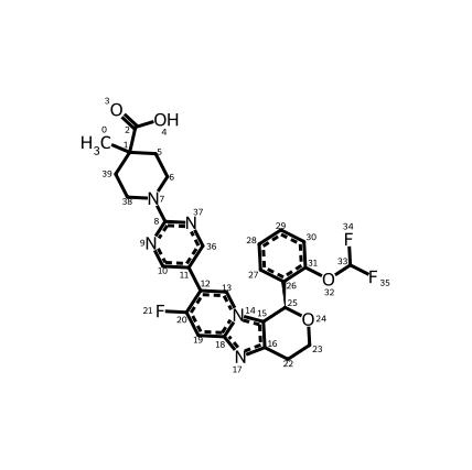 CC1(C(=O)O)CCN(c2ncc(-c3cn4c5c(nc4cc3F)CCO[C@@H]5c3ccccc3OC(F)F)cn2)CC1